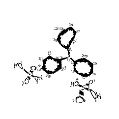 O=S(=O)(O)O.O=S(=O)(O)O.c1ccc(P(c2ccccc2)c2ccccc2)cc1